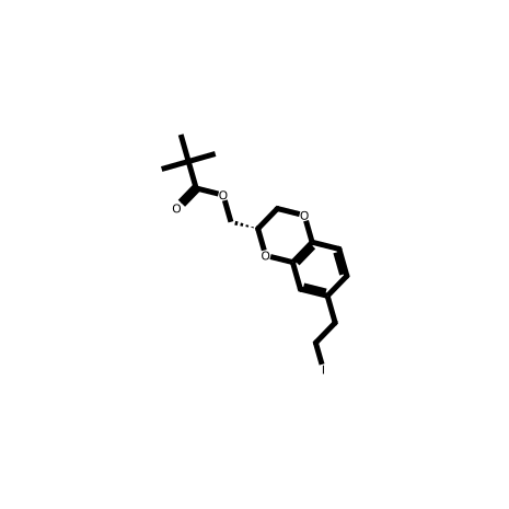 CC(C)(C)C(=O)OC[C@@H]1COc2ccc(CCI)cc2O1